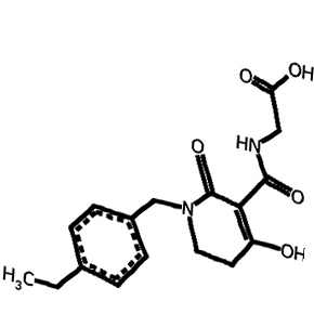 CCc1ccc(CN2CCC(O)=C(C(=O)NCC(=O)O)C2=O)cc1